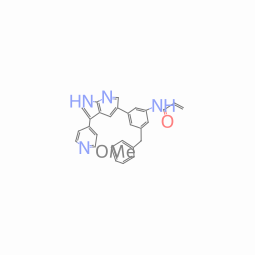 C=CC(=O)Nc1cc(Cc2ccccc2)cc(-c2cnc3[nH]cc(-c4ccnc(OC)c4)c3c2)c1